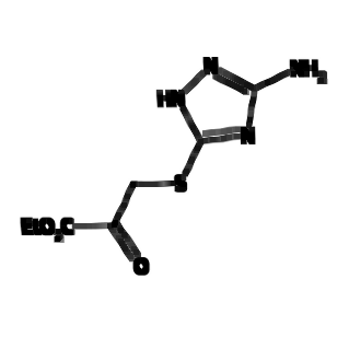 CCOC(=O)C(=O)CSc1nc(N)n[nH]1